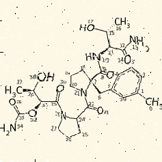 Cc1cccc(C[C@]2(C(=O)N[C@H](C(N)=O)[C@@H](C)O)CCCN2C(=O)C2CCCN2C(=O)[C@@H](OC(N)=O)[C@@H](C)O)c1